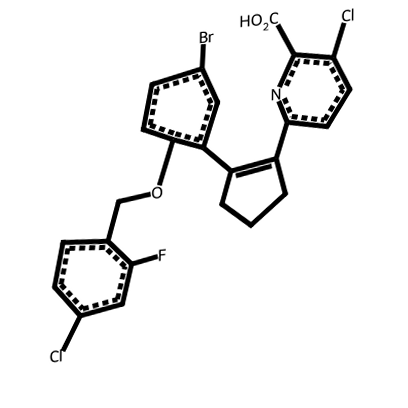 O=C(O)c1nc(C2=C(c3cc(Br)ccc3OCc3ccc(Cl)cc3F)CCC2)ccc1Cl